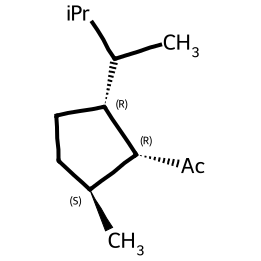 CC(=O)[C@H]1[C@@H](C(C)C(C)C)CC[C@@H]1C